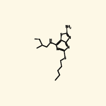 CCCCCSc1nc(NCC(C)CC)c2sc(N)nc2n1